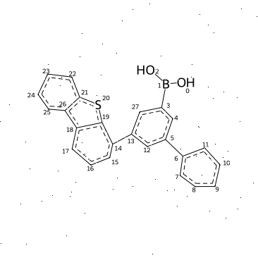 OB(O)c1cc(-c2ccccc2)cc(-c2cccc3c2sc2ccccc23)c1